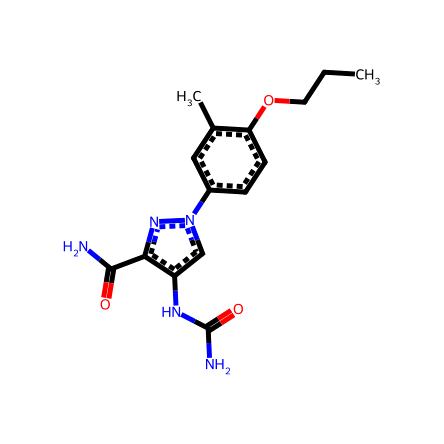 CCCOc1ccc(-n2cc(NC(N)=O)c(C(N)=O)n2)cc1C